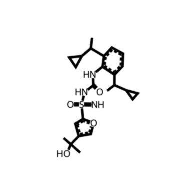 CC(c1cccc(C(C)C2CC2)c1NC(=O)NS(=N)(=O)c1cc(C(C)(C)O)co1)C1CC1